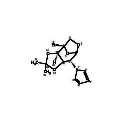 CC[C@@]12COC(O1)[C@H](n1cccc1)C1OC(C)(C)O[C@H]12